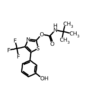 CC(C)(C)NC(=O)Oc1nc(C(F)(F)F)c(-c2cccc(O)c2)s1